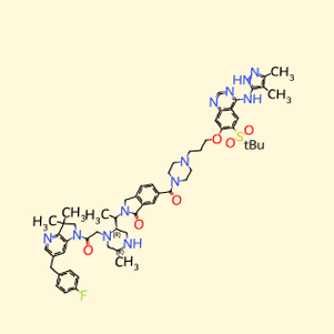 Cc1n[nH]c(Nc2ncnc3cc(OCCCN4CCN(C(=O)c5ccc6c(c5)C(=O)N(C(C)[C@H]5CN[C@H](C)CN5CC(=O)N5CC(C)(C)c7ncc(Cc8ccc(F)cc8)cc75)C6)CC4)c(S(=O)(=O)C(C)(C)C)cc23)c1C